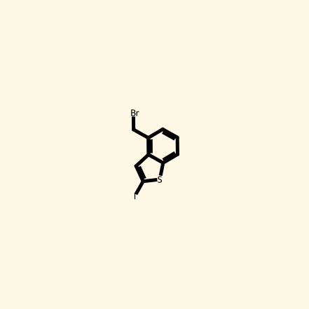 BrCc1cccc2sc(I)cc12